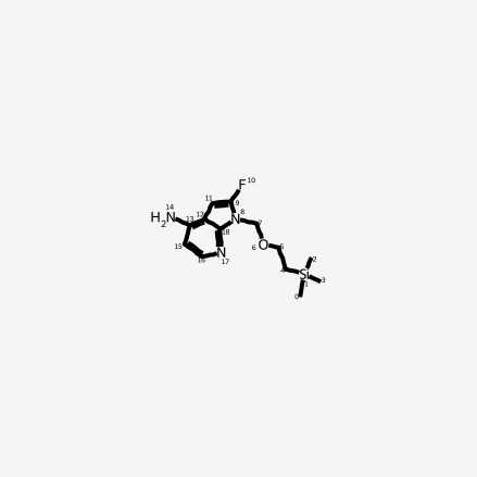 C[Si](C)(C)CCOCn1c(F)cc2c(N)ccnc21